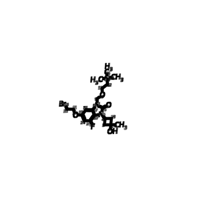 CC1(O)CC(n2c(=O)n(COCC[Si](C)(C)C)c3cc(OCCBr)cc(F)c32)C1